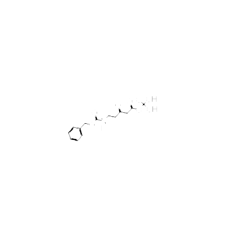 CC(C)(C)OC(=O)CC(=O)CCNC(=O)OCc1ccccc1